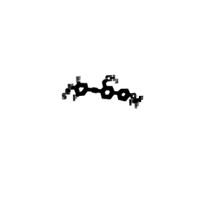 CCc1cc(-c2ccc(OC(F)(F)F)cc2)ccc1C#Cc1cc(F)c(N=C=S)c(F)c1